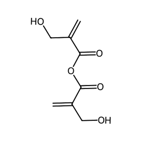 C=C(CO)C(=O)OC(=O)C(=C)CO